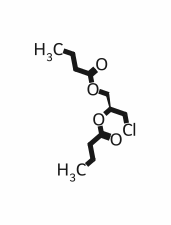 CCCC(=O)OC[C@@H](CCl)OC(=O)CCC